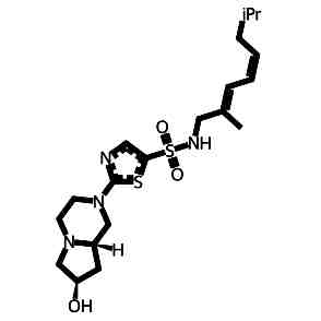 C/C(=C\C=C/CC(C)C)CNS(=O)(=O)c1cnc(N2CCN3C[C@H](O)C[C@H]3C2)s1